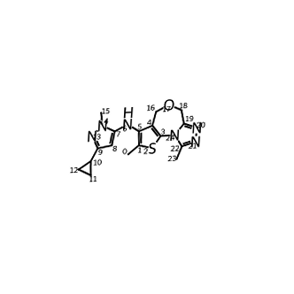 Cc1sc2c(c1Nc1cc(C3CC3)nn1C)COCc1nnc(C)n1-2